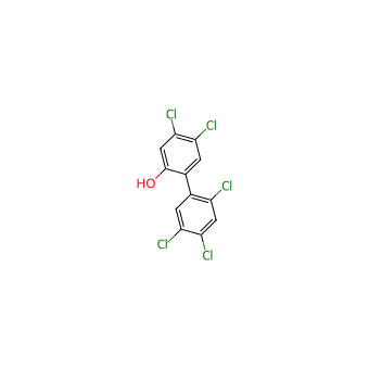 Oc1cc(Cl)c(Cl)cc1-c1cc(Cl)c(Cl)cc1Cl